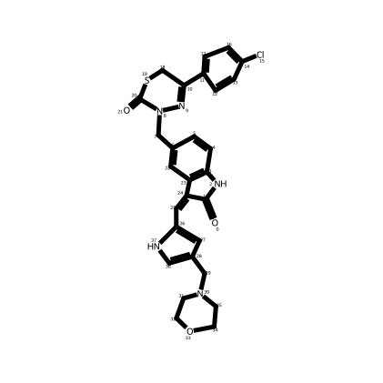 O=C1Nc2ccc(CN3N=C(c4ccc(Cl)cc4)CSC3=O)cc2C1=Cc1cc(CN2CCOCC2)c[nH]1